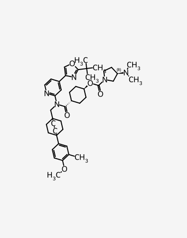 COc1ccc(C23CCC(CN(c4cc(-c5coc(C(C)(C)C)n5)ccn4)C(=O)[C@H]4CC[C@H](OC(=O)N5CC[C@@H](N(C)C)C5)CC4)(CC2)CC3)cc1C